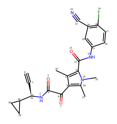 C#C[C@@H](NC(=O)C(=O)c1c(C)c(C(=O)Nc2ccc(F)c(C#N)c2)n(C)c1C)C1CC1